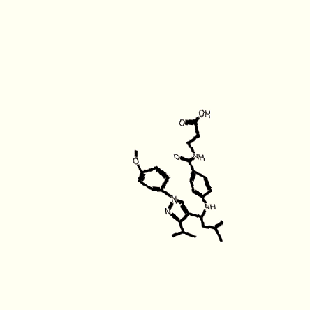 COc1ccc(-n2cc(C(CC(C)C)Nc3ccc(C(=O)NCCC(=O)O)cc3)c(C(C)C)n2)cc1